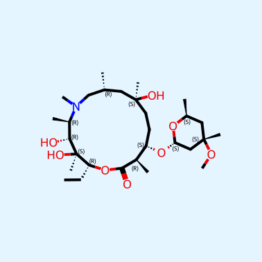 CC[C@H]1OC(=O)[C@H](C)[C@@H](O[C@H]2C[C@@](C)(OC)C[C@H](C)O2)CC[C@](C)(O)C[C@@H](C)CN(C)[C@H](C)[C@@H](O)[C@]1(C)O